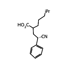 CC(C)CCCC(C[C@H](C#N)c1ccccc1)C(=O)O